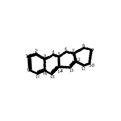 C1=CCC2CC3CC4CCCCC4=CC3=CC2=C1